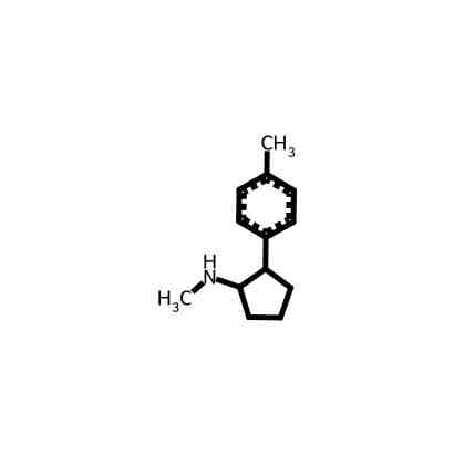 CNC1CCCC1c1ccc(C)cc1